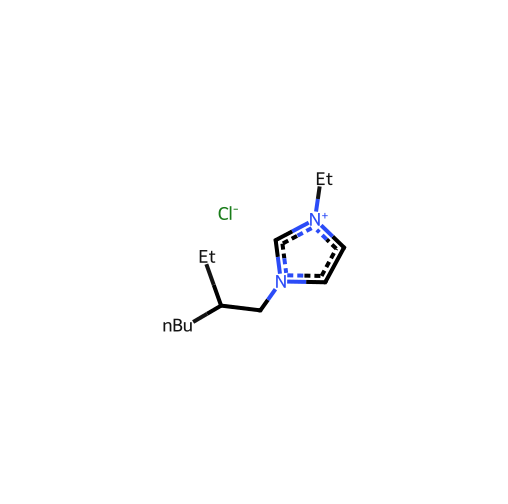 CCCCC(CC)Cn1cc[n+](CC)c1.[Cl-]